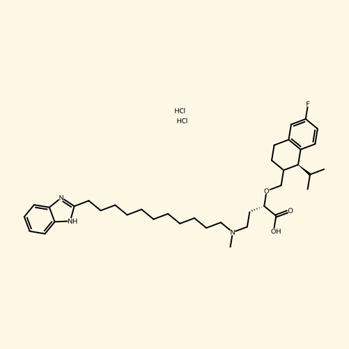 CC(C)[C@@H]1c2ccc(F)cc2CCC1CO[C@@H](CCN(C)CCCCCCCCCCCc1nc2ccccc2[nH]1)C(=O)O.Cl.Cl